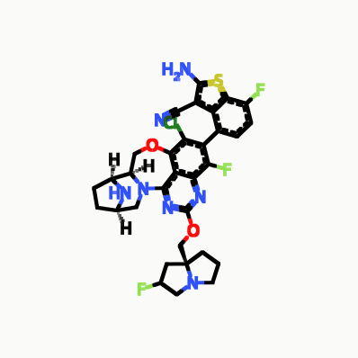 N#Cc1c(N)sc2c(F)ccc(-c3c(Cl)c4c5c(nc(OC[C@@]67CCCN6CC(F)C7)nc5c3F)N3C[C@H]5CC[C@H](N5)[C@H]3CO4)c12